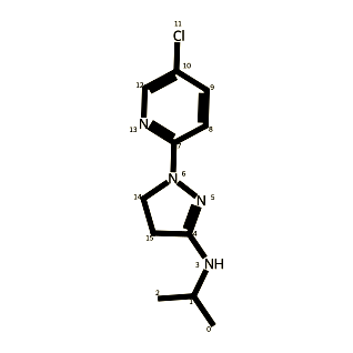 CC(C)NC1=NN(c2ccc(Cl)cn2)CC1